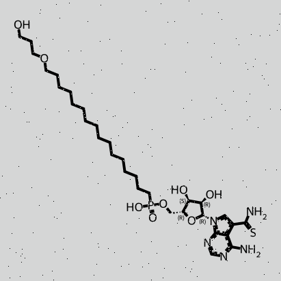 NC(=S)c1cn([C@@H]2O[C@H](COP(=O)(O)CCCCCCCCCCCCCCCCOCCCO)[C@@H](O)[C@H]2O)c2ncnc(N)c12